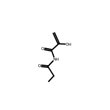 C=C(O)C(=O)NC(=O)CC